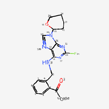 COC(=O)c1ccccc1CNc1nc(F)nc2c1ncn2C1CCCCO1